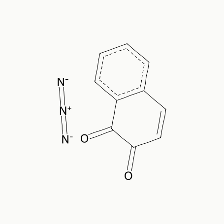 O=C1C=Cc2ccccc2C1=O.[N-]=[N+]=[N-]